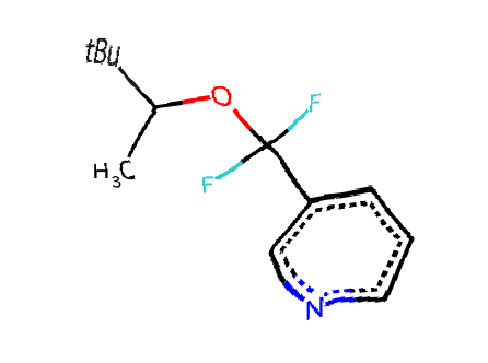 CC(OC(F)(F)c1cccnc1)C(C)(C)C